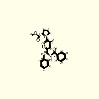 COC(=O)[C@@H]1CCCN1C(=O)[C@@H](C)CC(=O)[C@@H](Cc1ccccc1)NC(=O)c1ccccc1